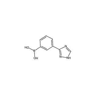 OB(O)c1cccc(-c2nc[nH]n2)c1